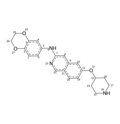 c1cc2c(cc1Nc1cc3cc(OC4CCNCC4)ccc3cn1)OCCO2